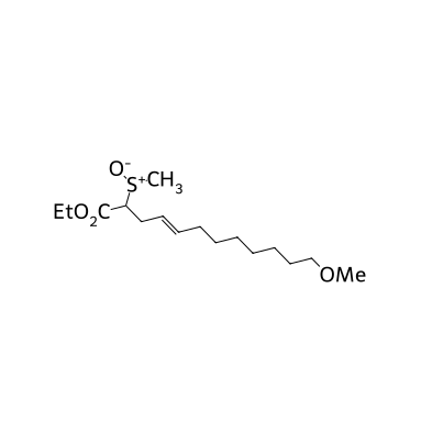 CCOC(=O)C(CC=CCCCCCCCOC)[S+](C)[O-]